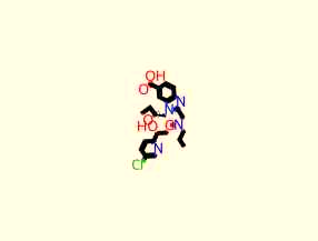 CCCN(Cc1nc2ccc(C(=O)O)cc2n1C[C@@H]1CCO1)OCC(O)c1ccc(Cl)cn1